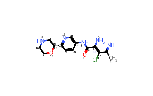 N=C(/C(Cl)=C(\N)C(=O)Nc1ccc([C@H]2CNCCO2)nc1)C(F)(F)F